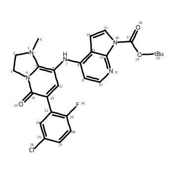 CN1CCn2c1c(Nc1ccnc3c1ccn3C(=O)OC(C)(C)C)cc(-c1cc(Cl)ccc1F)c2=O